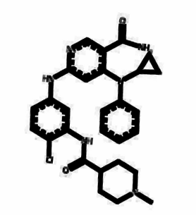 CN1CCC(C(=O)Nc2cc(Nc3cc(N(c4ccccc4)C4CC4)c(C(N)=O)cn3)ccc2Cl)CC1